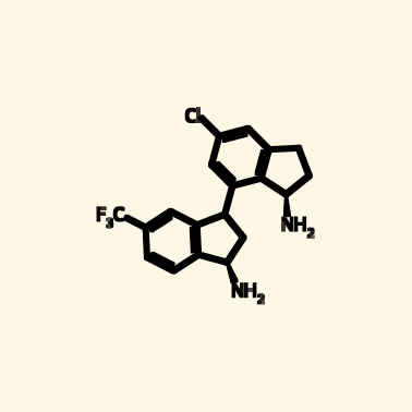 N[C@@H]1CC(c2cc(Cl)cc3c2[C@H](N)CC3)c2cc(C(F)(F)F)ccc21